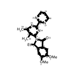 CCC1c2cc(OC)c(OC)cc2C(=O)N1c1nc(-c2ncccn2)nc(C)c1C